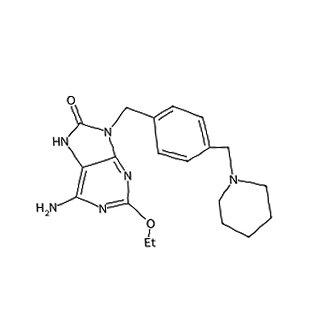 CCOc1nc(N)c2[nH]c(=O)n(Cc3ccc(CN4CCCCC4)cc3)c2n1